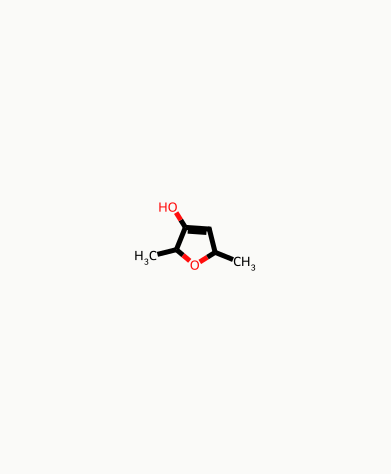 CC1C=C(O)C(C)O1